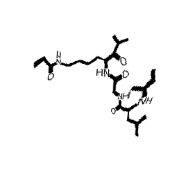 CCC(=O)NCCCC[C@H](NC(=O)CNC(=O)[C@H](CC(C)C)NC(C)CC)C(=O)C(C)C